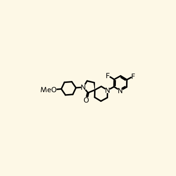 COC1CCC(N2CC[C@@]3(CCCN(c4ncc(F)cc4F)C3)C2=O)CC1